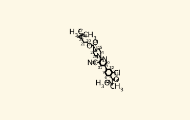 CN(C)C(=O)c1ccc(-c2cnc(N3CCN(C(=O)OCCC4CC4(C)C)CC3)c(C#N)c2)cc1Cl